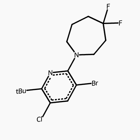 CC(C)(C)c1nc(N2CCCC(F)(F)CC2)c(Br)cc1Cl